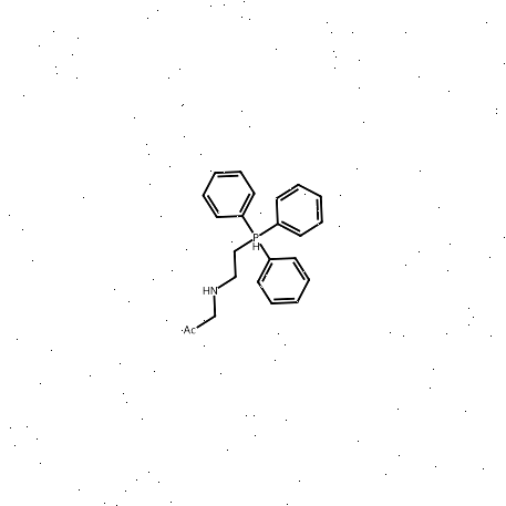 CC(=O)CNCC[PH](c1ccccc1)(c1ccccc1)c1ccccc1